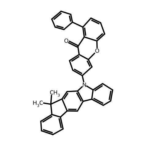 CC1(C)c2ccccc2-c2cc3c4ccccc4n(-c4ccc5c(=O)c6c(-c7ccccc7)cccc6oc5c4)c3cc21